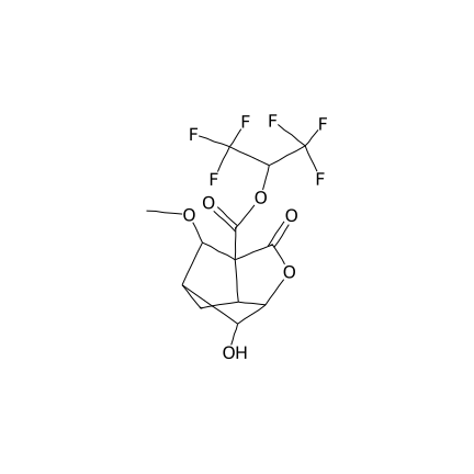 COC1C2CC3C(OC(=O)C31C(=O)OC(C(F)(F)F)C(F)(F)F)C2O